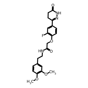 COc1ccc(CCNC(=O)COc2ccc(C3=NNC(=O)CC3)cc2F)cc1OC